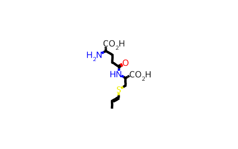 C/C=C/SCC(NC(=O)CCC(N)C(=O)O)C(=O)O